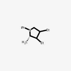 CCC1CN(C(C)C)[C@@H](C)C1CC